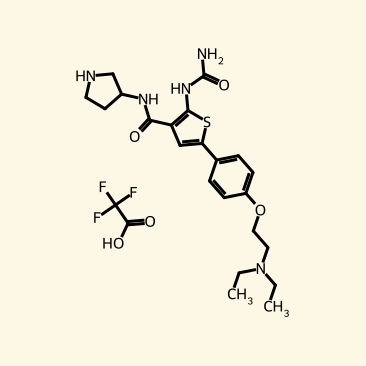 CCN(CC)CCOc1ccc(-c2cc(C(=O)NC3CCNC3)c(NC(N)=O)s2)cc1.O=C(O)C(F)(F)F